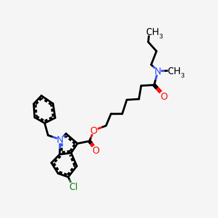 CCCCN(C)C(=O)CCCCCCOC(=O)c1cn(Cc2ccccc2)c2ccc(Cl)cc12